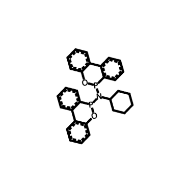 c1ccc2c(c1)OP(N(C1CCCCC1)P1Oc3ccccc3-c3ccccc31)c1ccccc1-2